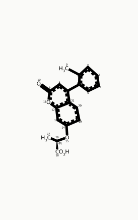 Cc1ccccc1-c1cc(=O)oc2cc(O[C@H](C)C(=O)O)ccc12